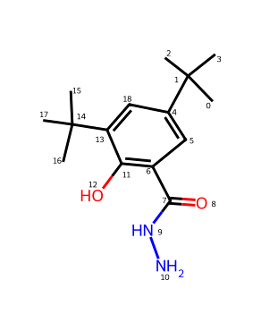 CC(C)(C)c1cc(C(=O)NN)c(O)c(C(C)(C)C)c1